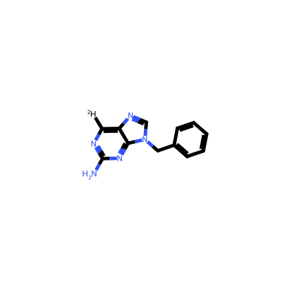 [2H]c1nc(N)nc2c1ncn2Cc1ccccc1